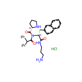 CC(C)C(C(=O)N(C(=O)[C@@H]1CCCN1)[C@H](Cc1ccc2ccccc2c1)C(=O)NCCCN)C(C)C.Cl